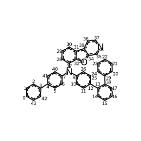 c1ccc(-c2ccc(N(c3ccc(-c4ccccc4-c4ccccc4)cc3)c3cccc4c3oc3cnccc34)cc2)cc1